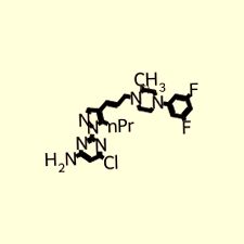 CCCc1c(C=CCN2CCN(c3cc(F)cc(F)c3)C[C@@H]2C)cnn1-c1nc(N)cc(Cl)n1